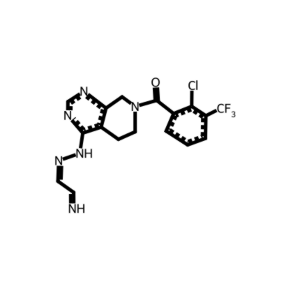 N=C/C=N\Nc1ncnc2c1CCN(C(=O)c1cccc(C(F)(F)F)c1Cl)C2